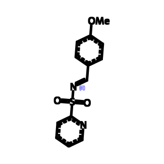 COc1ccc(/C=N/S(=O)(=O)c2ccccn2)cc1